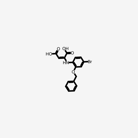 O=C(O)C=C(Nc1ccc(Br)cc1OCc1ccccc1)C(=O)O